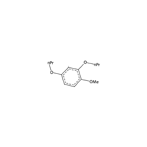 CCCOc1[c]c(OCCC)c(OC)cc1